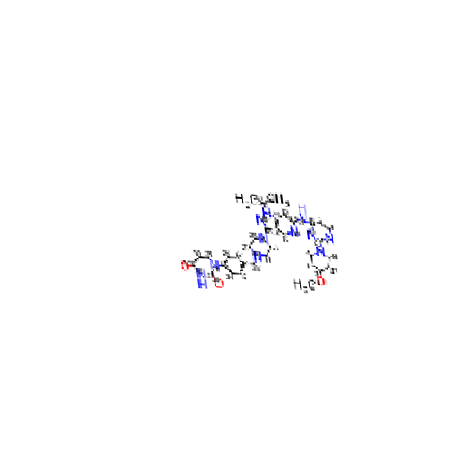 COC1CCN(c2nccc(Nc3cc4c(cn3)c(N3CCN(Cc5ccc(N6CCC(=O)NC6=O)cc5)CC3)nn4C(C)C)n2)CC1